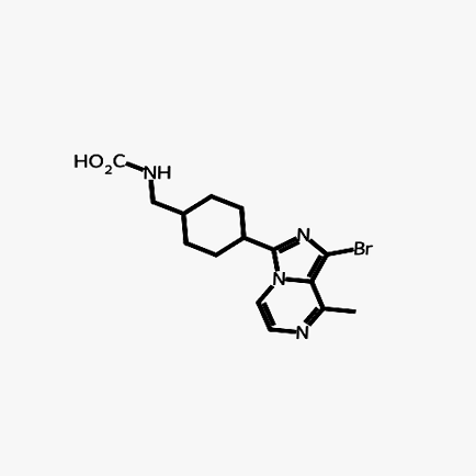 Cc1nccn2c(C3CCC(CNC(=O)O)CC3)nc(Br)c12